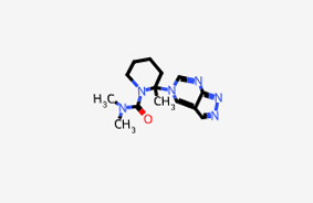 CN(C)C(=O)N1CCCCC1(C)n1cnc2nncc-2c1